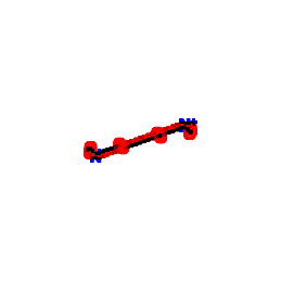 CC(=O)OCC[N+](C)(C)CCCCCCCCCCCC(=O)OCCCCCCCCCCCCCCCCOC(=O)CCCCCCCCCCC[N+](C)(C)CCOC(C)=O